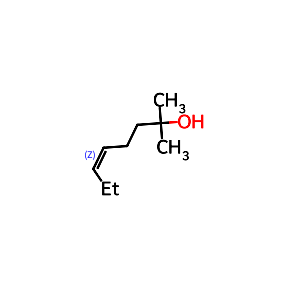 CC/C=C\CCC(C)(C)O